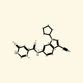 N#Cc1cn(C2CCCC2)c2cc(NC(=O)c3cc(=O)[nH]cn3)ccc12